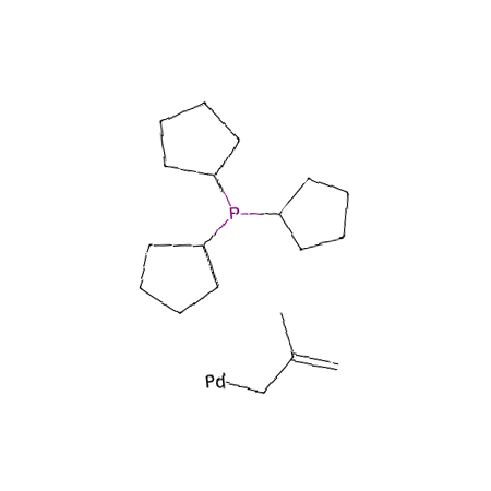 C1CCC(P(C2CCCC2)C2CCCC2)C1.C=C(C)[CH2][Pd]